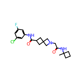 CC1(NC(=O)CN2CC3(CC(C(=O)Nc4cc(F)cc(Cl)c4)C3)C2)CCC1